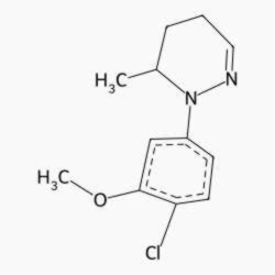 COc1cc(N2N=CCCC2C)ccc1Cl